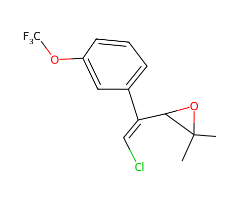 CC1(C)OC1C(=CCl)c1cccc(OC(F)(F)F)c1